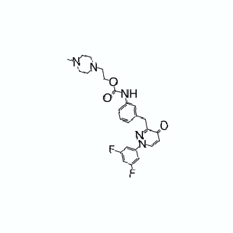 CN1CCN(CCOC(=O)Nc2cccc(Cc3nn(-c4cc(F)cc(F)c4)ccc3=O)c2)CC1